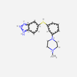 CN1CCN(c2cccc(Sc3ccc4[nH]nnc4c3)c2)CC1